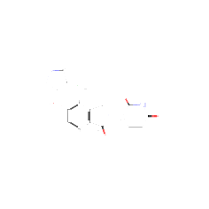 O=C1CCC(N2Cc3cc(O[C@@H]4CNC[C@@H]4F)ccc3C2=O)C(=O)N1